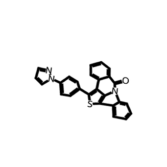 O=c1c2ccccc2c2c(-c3ccc(-n4cccn4)cc3)sc3c4ccccc4n1c32